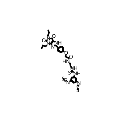 CCCn1c(=O)c2[nH]c(-c3ccc(OCC(=O)NCCNC(=S)Nc4cc(N=C=S)cc(N=C=S)c4)cc3)nc2n(CCC)c1=O